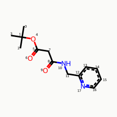 CC(C)(C)OC(=O)CC(=O)NCc1ccccn1